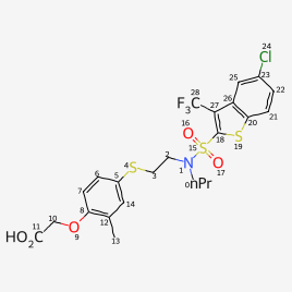 CCCN(CCSc1ccc(OCC(=O)O)c(C)c1)S(=O)(=O)c1sc2ccc(Cl)cc2c1C(F)(F)F